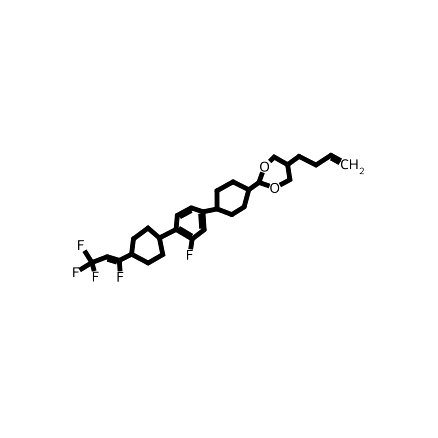 C=CCCC1COC(C2CCC(c3ccc(C4CCC(/C(F)=C/C(F)(F)F)CC4)c(F)c3)CC2)OC1